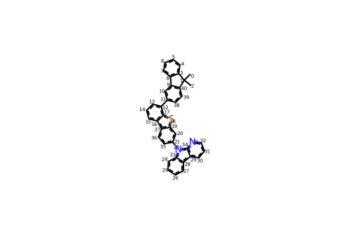 CC1(C)c2ccccc2-c2cc(-c3cccc4c3sc3cc(-n5c6ccccc6c6cccnc65)ccc34)ccc21